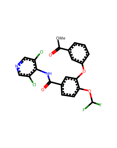 COC(=O)c1cccc(Oc2cc(C(=O)Nc3c(Cl)cncc3Cl)ccc2OC(F)F)c1